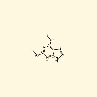 COc1cc(OC)c2cc[nH]c2n1